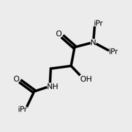 CC(C)C(=O)NCC(O)C(=O)N(C(C)C)C(C)C